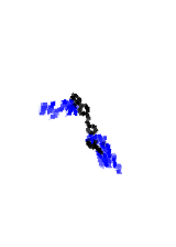 NC1=Nc2cc(CCC3CCC(n4ccc5c(N)ncnc54)C3)ccc2C12CCC2